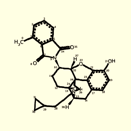 Cc1cccc2c1C(=O)N([C@@H]1CC[C@@]3(O)[C@H]4Cc5ccc(O)c6c5[C@@]3(CCN4CC3CC3)[C@H]1O6)C2=O